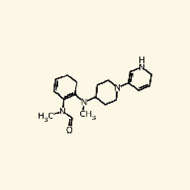 CN(C=O)C1=C(N(C)C2CCN(C3=CNCC=C3)CC2)CCC=C1